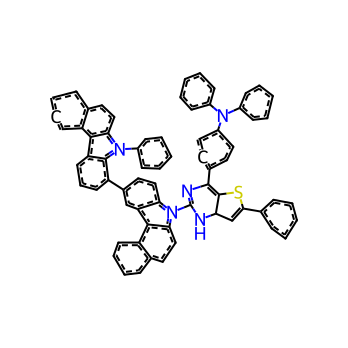 C1=C(c2ccccc2)SC2=C(c3ccc(N(c4ccccc4)c4ccccc4)cc3)N=C(n3c4ccc(-c5cccc6c7c8ccccc8ccc7n(-c7ccccc7)c56)cc4c4c5ccccc5ccc43)NC12